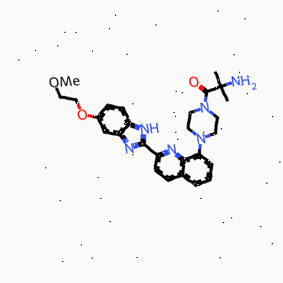 COCCOc1ccc2[nH]c(-c3ccc4cccc(N5CCN(C(=O)C(C)(C)N)CC5)c4n3)nc2c1